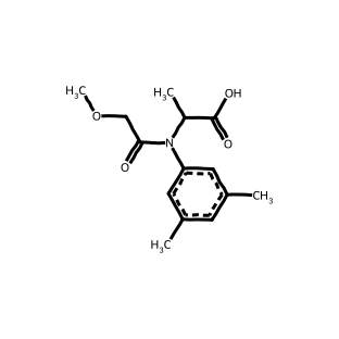 COCC(=O)N(c1cc(C)cc(C)c1)C(C)C(=O)O